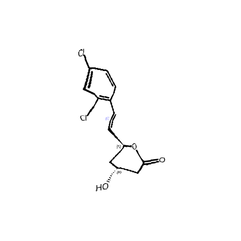 O=C1C[C@H](O)C[C@@H](/C=C/c2ccc(Cl)cc2Cl)O1